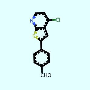 O=Cc1ccc(-c2cc3c(Cl)ccnc3s2)cc1